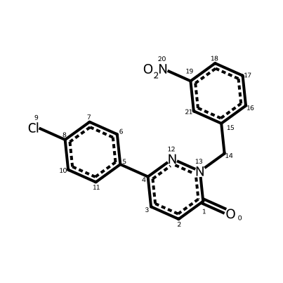 O=c1ccc(-c2ccc(Cl)cc2)nn1Cc1cccc([N+](=O)[O-])c1